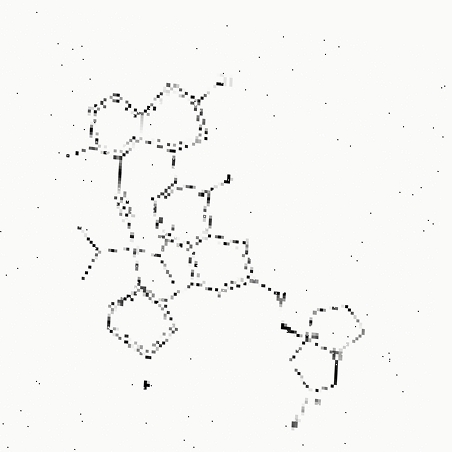 CC(C)[Si](C#Cc1c(F)ccc2cc(O)cc(-c3ncc4c(-c5cccc(F)c5)nc(OC[C@@]56CCCN5C[C@H](F)C6)nc4c3F)c12)(C(C)C)C(C)C